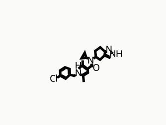 CC(C)=C(/C=C(/C)NCc1cccc(Cl)c1)C(=O)N(C1CC1)C1CCc2n[nH]cc2C1